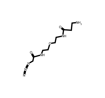 [N-]=[N+]=NCC(=O)NCCOCCNC(=O)CCN